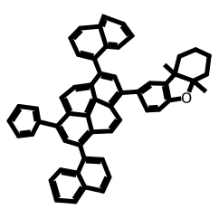 CC12CCCCC1(C)c1cc(-c3cc(-c4cccc5ccccc45)c4ccc5c(-c6ccccc6)cc(-c6cccc7ccccc67)c6ccc3c4c56)ccc1O2